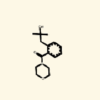 [CH2]C(C)(O)Cc1ccccc1C(=O)N1CCOCC1